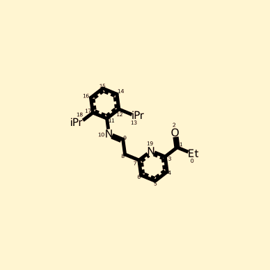 CCC(=O)c1cccc(CC=Nc2c(C(C)C)cccc2C(C)C)n1